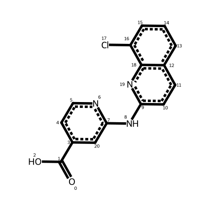 O=C(O)c1ccnc(Nc2ccc3cccc(Cl)c3n2)c1